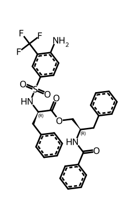 Nc1ccc(S(=O)(=O)N[C@H](Cc2ccccc2)C(=O)OC[C@@H](Cc2ccccc2)NC(=O)c2ccccc2)cc1C(F)(F)F